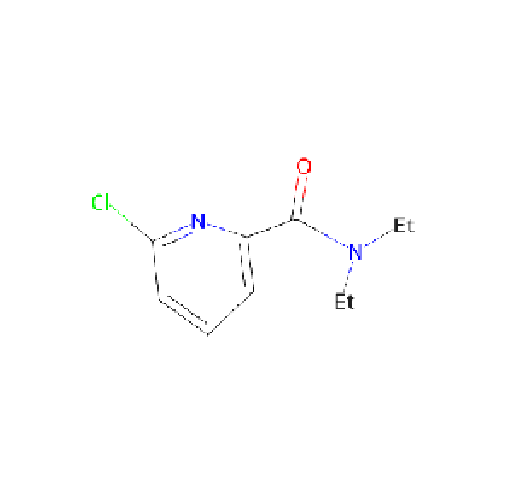 CCN(CC)C(=O)c1cccc(Cl)n1